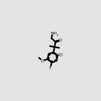 COc1cc(C(C)(C)C(=O)CN)ccc1F.Cl